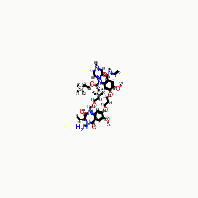 C=CN(C)C(=O)c1cc(OC)c(OCCCOc2cc3c(cc2OC)C(=O)N(N)[C@@H](CC)C(=O)N3COCC[Si](C)(C)C)cc1N(COCC[Si](C)(C)C)N1CCN(C)CC1